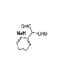 O=CC(C=O)c1ccccc1.[NaH]